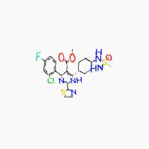 COC(=O)C1=C([C@H]2CC[C@H](NS(C)(=N)=O)CC2)NC(c2nccs2)=NC1c1ccc(F)cc1Cl